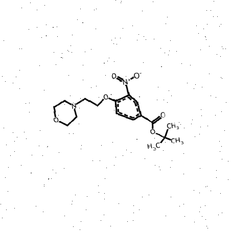 CC(C)(C)OC(=O)c1ccc(OCCN2CCOCC2)c([N+](=O)[O-])c1